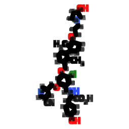 Cc1c(COc2cc(OCc3cncc(C#N)c3)c(CN[C@@H](Cc3ccc(O)cc3)C(=O)O)cc2Cl)cccc1-c1cccc(OCCCN2CCC(O)C2)c1C